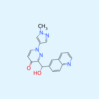 Cn1cc(-n2ccc(=O)c(C(O)c3ccc4ncccc4c3)n2)cn1